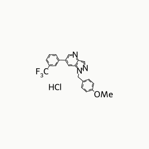 COc1ccc(Cn2ncc3ncc(-c4cccc(C(F)(F)F)c4)cc32)cc1.Cl